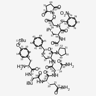 CC[C@H](C)[C@H](NC(=O)[C@@H](N)Cc1ccc(OC(C)(C)C)cc1)C(=O)N[C@@H](CCC(N)=O)C(=O)N[C@@H](CC(N)=O)C(=O)N[C@@H](CSCc1ccccc1)C(=O)N1CCC[C@H]1C(=O)N[C@@H](CC(C)C)C(=O)N(CC(=O)ON1C(=O)CCC1=O)Sc1ccccc1[N+](=O)[O-]